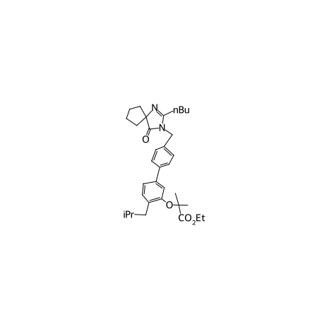 CCCCC1=NC2(CCCC2)C(=O)N1Cc1ccc(-c2ccc(CC(C)C)c(OC(C)(C)C(=O)OCC)c2)cc1